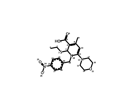 CCSC1C(C(=O)O)=C(C)C=C(N2CCOCC2)N1Cc1ccc([N+](=O)[O-])cc1